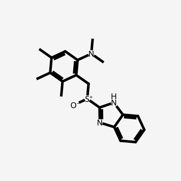 Cc1cc(N(C)C)c(C[S+]([O-])c2nc3ccccc3[nH]2)c(C)c1C